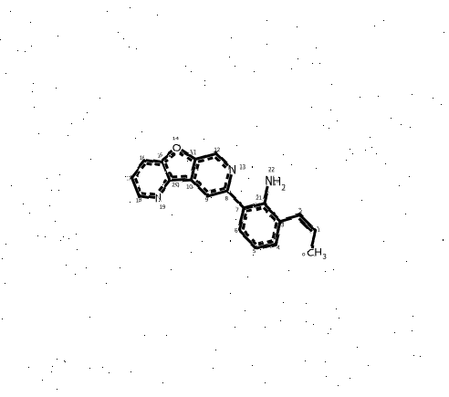 C/C=C\c1cccc(-c2cc3c(cn2)oc2cccnc23)c1N